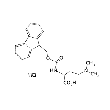 CN(C)CCC(NC(=O)OCC1c2ccccc2-c2ccccc21)C(=O)O.Cl